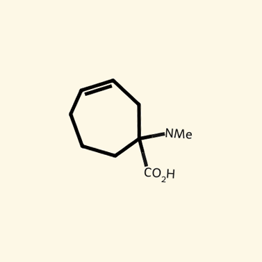 CNC1(C(=O)O)CC=CCCC1